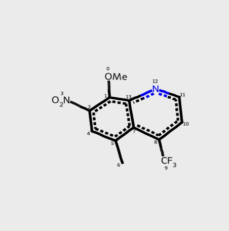 COc1c([N+](=O)[O-])cc(C)c2c(C(F)(F)F)ccnc12